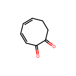 O=C1C=CC=CCCC1=O